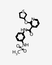 CS(=O)(=O)Nc1cccc(NC(=O)c2cccnc2OC2CCSC2)c1